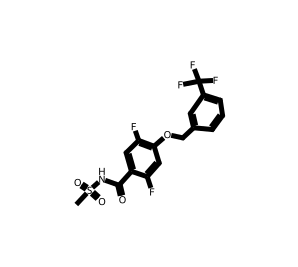 CS(=O)(=O)NC(=O)c1cc(F)c(OCc2cccc(C(F)(F)F)c2)cc1F